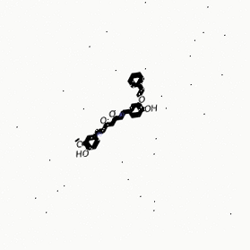 COc1cc(/C=C/C(=O)CC(=O)/C=C/c2ccc(O)c(OC=Cc3ccccc3)c2)ccc1O